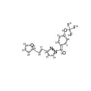 O=C(c1ccc(OC(F)(F)F)cc1)n1ccc(/C=C/c2ccco2)n1